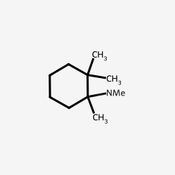 CNC1(C)CCCCC1(C)C